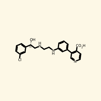 O=C(O)c1ccncc1-c1cccc(NCCNC[C@@H](O)c2cccc(Cl)c2)c1